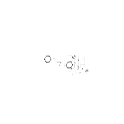 COc1cc(OCCCc2ccccc2)cc(C(N)=O)c1N